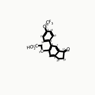 O=C(O)COc1cc2c(cc1-c1ccc(OC(F)(F)F)cc1)C(=O)CC2